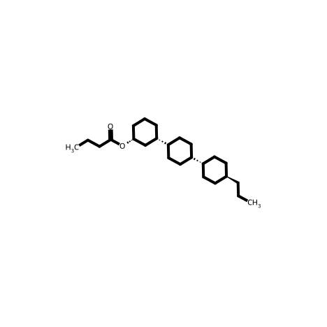 CCCC(=O)O[C@@H]1CCC[C@H](C2CCC([C@H]3CC[C@H](CCC)CC3)CC2)C1